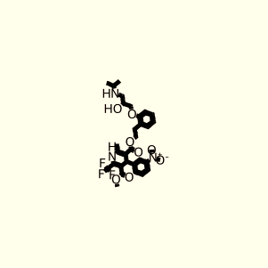 COC(=O)C1=C(C(F)(F)F)NC(C)=C(C(=O)OCCc2ccccc2OCC(O)CNC(C)C)C1c1cccc([N+](=O)[O-])c1